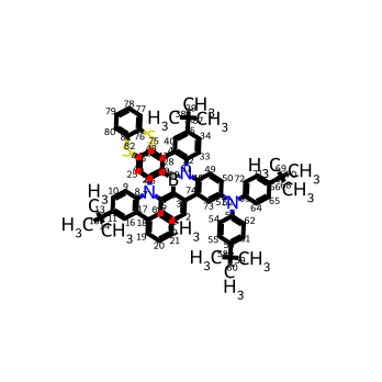 Cc1cc2c3c(c1)N(c1ccc(C(C)(C)C)cc1-c1ccccc1)c1cc4c(cc1B3N(c1ccc(C(C)(C)C)cc1-c1ccccc1)c1ccc(N(c3ccc(C(C)(C)C)cc3)c3ccc(C(C)(C)C)cc3)cc1-2)Sc1ccccc1S4